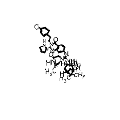 C[C@H]1[C@@H](NC(=Nc2ccc3c(=O)n(CCc4ccc(Cl)cc4)c([C@@H]4CCCN4)nc3c2)N2CC(=O)N[C@@H](C)C2)C[C@@H]2C[C@@H]1C2(C)C